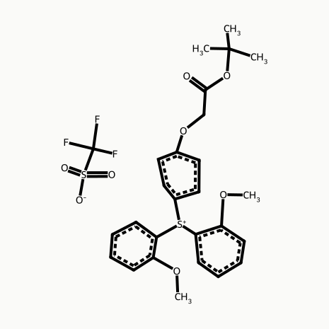 COc1ccccc1[S+](c1ccc(OCC(=O)OC(C)(C)C)cc1)c1ccccc1OC.O=S(=O)([O-])C(F)(F)F